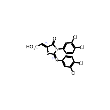 O=C(O)/C=C1\S/C(=N/c2ccc(Cl)c(Cl)c2)N(c2ccc(Cl)c(Cl)c2)C1=O